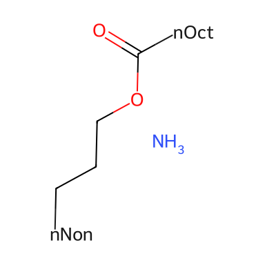 CCCCCCCCCCCCOC(=O)CCCCCCCC.N